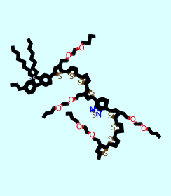 CCCCCCCC[Si]1(CCCCCCCC)c2cc(CCC)ccc2-c2ccc(-c3cc(CCOCCOCCCC)c(-c4ccc(-c5ccc(-c6sc(-c7ccc(-c8cc(CCOCCOCCCC)c(-c9ccc(-c%10ccc(-c%11sc(C)cc%11CCOCCOCCCC)s%10)s9)s8)c8nsnc78)cc6CCOCCOCCCC)s5)s4)s3)cc21